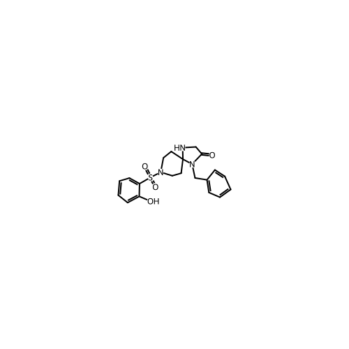 O=C1CNC2(CCN(S(=O)(=O)c3ccccc3O)CC2)N1Cc1ccccc1